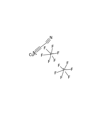 F[P-](F)(F)(F)(F)F.F[P-](F)(F)(F)(F)F.N#CC#N.[Cu+2]